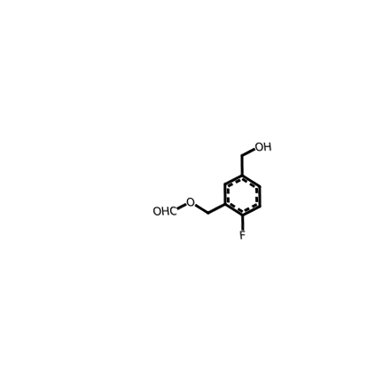 O=COCc1cc(CO)ccc1F